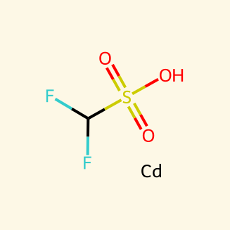 O=S(=O)(O)C(F)F.[Cd]